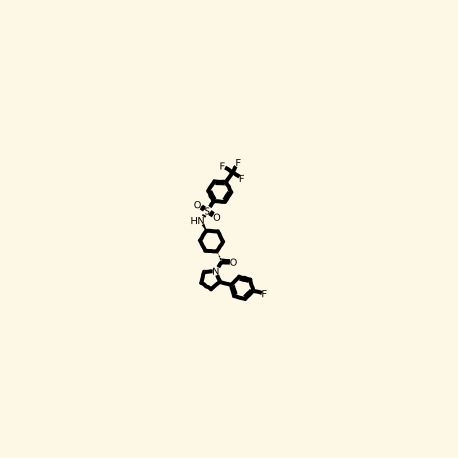 O=C([C@H]1CC[C@H](NS(=O)(=O)c2ccc(C(F)(F)F)cc2)CC1)N1CCCC1c1ccc(F)cc1